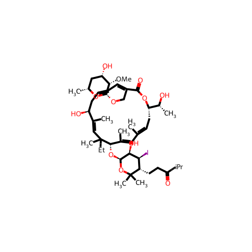 CCC1(C)/C=C(\C)[C@@H](O)C/C=C/C=C(\CO[C@@H]2O[C@H](C)C[C@H](O)[C@@H]2OC)C(=O)O[C@H]([C@@H](C)O)C/C=C(C)/C=C(\C)[C@@H]1O[C@@H]1OC(C)(C)[C@@H](CCC(=O)C(C)C)[C@H](I)[C@@H]1O